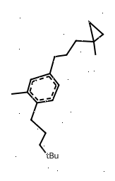 Cc1cc(CCCC2(C)CC2)ccc1CCCC(C)(C)C